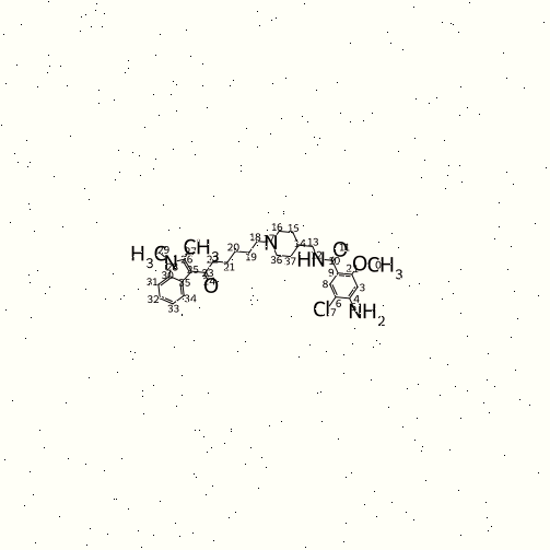 COc1cc(N)c(Cl)cc1C(=O)NCC1CCN(CCCCCC(=O)c2c(C)n(C)c3ccccc23)CC1